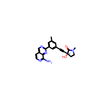 Cc1cc(C#C[C@@]2(O)CCN(C)C2=O)cc(-c2ncc3ccnc(N)c3n2)c1